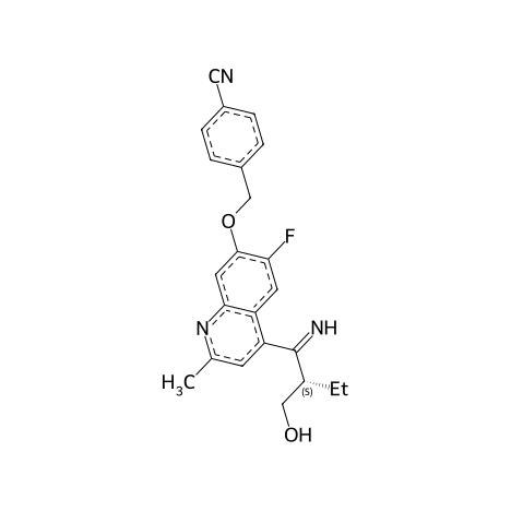 CC[C@H](CO)C(=N)c1cc(C)nc2cc(OCc3ccc(C#N)cc3)c(F)cc12